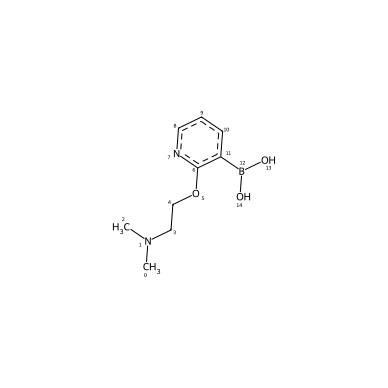 CN(C)CCOc1ncccc1B(O)O